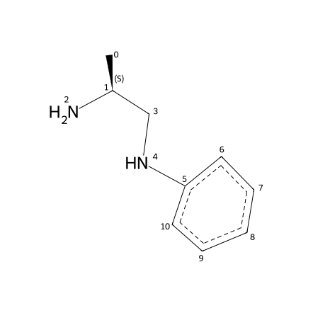 C[C@H](N)CNc1ccccc1